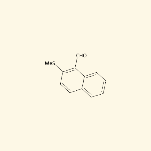 CSc1ccc2ccccc2c1C=O